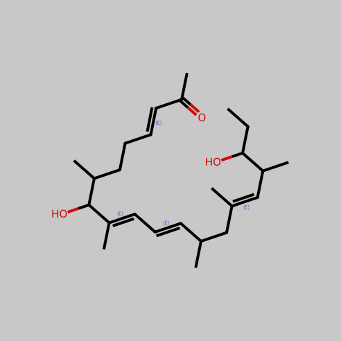 CCC(O)C(C)/C=C(\C)CC(C)/C=C/C=C(\C)C(O)C(C)CC/C=C/C(C)=O